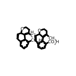 CC1=C2c3c(cccc3C(=O)O)C=CC2OCC1.CC1=C2c3c(cccc3C(=O)O)C=CC2OCC1